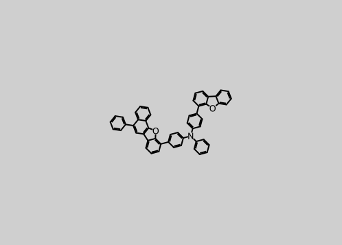 c1ccc(-c2cc3c4cccc(-c5ccc(N(c6ccccc6)c6ccc(-c7cccc8c7oc7ccccc78)cc6)cc5)c4oc3c3ccccc23)cc1